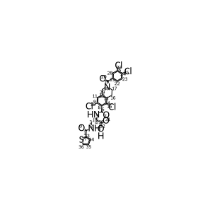 O=C(NC[C@H](NC(=O)c1c(Cl)cc2c(c1Cl)CCN(C(=O)c1ccc(Cl)c(Cl)c1)C2)C(=O)O)c1cccs1